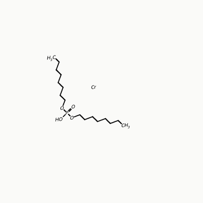 CCCCCCCCOP(=O)(O)OCCCCCCCC.[Cr]